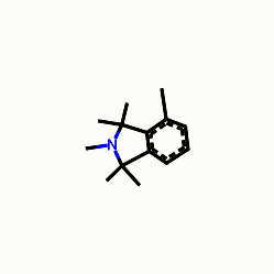 Cc1cccc2c1C(C)(C)N(C)C2(C)C